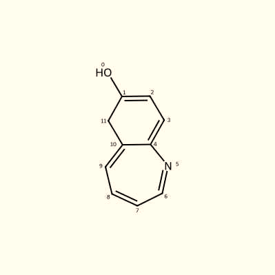 OC1=CC=C2N=CC=CC=C2C1